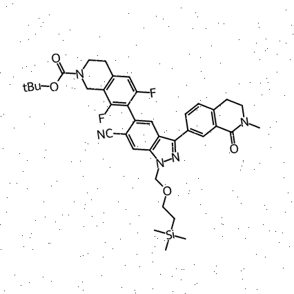 CN1CCc2ccc(-c3nn(COCC[Si](C)(C)C)c4cc(C#N)c(-c5c(F)cc6c(c5F)CN(C(=O)OC(C)(C)C)CC6)cc34)cc2C1=O